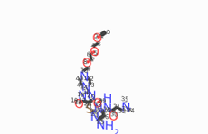 C#COCCOCCOCCN1CCN(c2nc(OC)c(Sc3nc(N)cc(NC(=O)CCN(C)C)n3)c(OC)n2)CC1